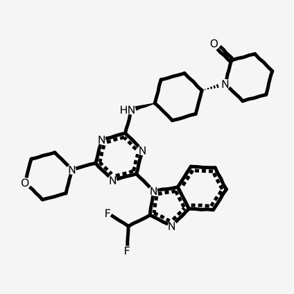 O=C1CCCCN1[C@H]1CC[C@H](Nc2nc(N3CCOCC3)nc(-n3c(C(F)F)nc4ccccc43)n2)CC1